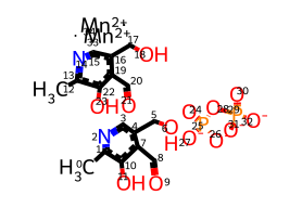 Cc1ncc(CO)c(C=O)c1O.Cc1ncc(CO)c(C=O)c1O.O=P([O-])([O-])OP(=O)([O-])[O-].[Mn+2].[Mn+2]